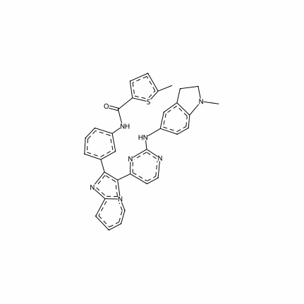 Cc1ccc(C(=O)Nc2cccc(-c3nc4ccccn4c3-c3ccnc(Nc4ccc5c(c4)CCN5C)n3)c2)s1